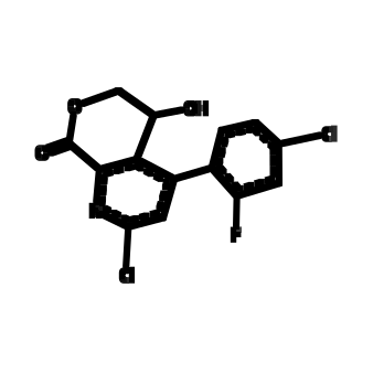 O=C1OCC(O)c2c(-c3ccc(Cl)cc3F)cc(Cl)nc21